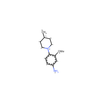 COc1cc(N)ccc1N1CCC(C)CC1